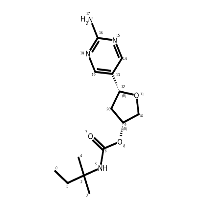 CCC(C)(C)NC(=O)O[C@H]1CO[C@@H](c2cnc(N)nc2)C1